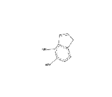 CCCc1ccc2c(c1CCC)C=CC2